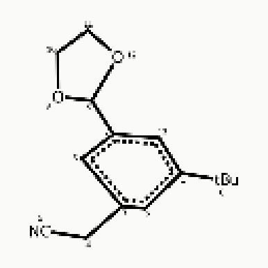 CC(C)(C)c1cc(CC#N)cc(C2OCCO2)c1